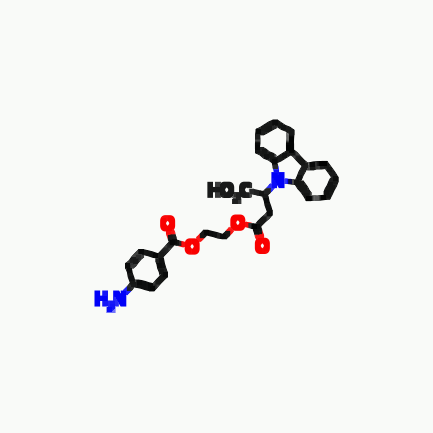 Nc1ccc(C(=O)OCCOC(=O)CC(C(=O)O)n2c3ccccc3c3ccccc32)cc1